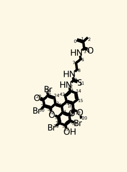 C=C(C)C(=O)NCCCNC(=S)Nc1ccc(C(=O)OC)c(-c2c3cc(Br)c(=O)c(Br)c-3oc3c(Br)c(O)c(Br)cc23)c1